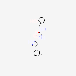 Cc1cccc([C@H]2CN[C@@H](C(=O)N[C@@H](C)C(=O)NCc3cc(Cl)ccc3O)C2)c1.Cl